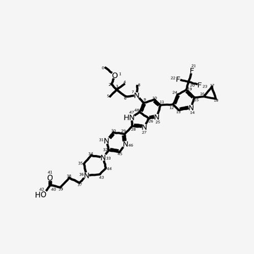 COCC(C)(C)CN(C)c1cc(-c2cnc(C3CC3)c(C(F)(F)F)c2)nc2nc(-c3cnc(N4CCN(CCCC(=O)O)CC4)cn3)[nH]c12